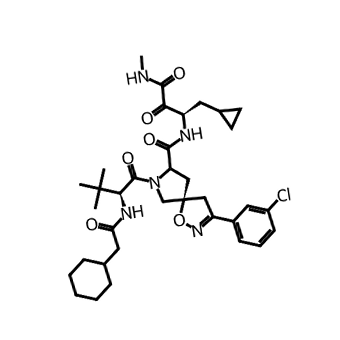 CNC(=O)C(=O)[C@@H](CC1CC1)NC(=O)C1C[C@]2(CC(c3cccc(Cl)c3)=NO2)CN1C(=O)[C@@H](NC(=O)CC1CCCCC1)C(C)(C)C